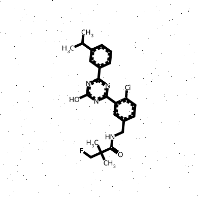 CC(C)c1cccc(-c2nc(O)nc(-c3cc(CNC(=O)C(C)(C)CF)ccc3Cl)n2)c1